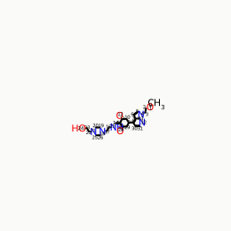 COCCn1ccc2c(C3CC(=O)C(=CNCCN4CCN(CCO)CC4)C(=O)C3)ccnc21